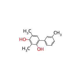 Cc1cccc(-c2cc(C)c(O)c(C)c2O)c1